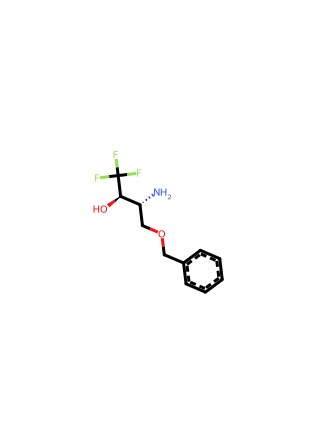 N[C@H](COCc1ccccc1)[C@@H](O)C(F)(F)F